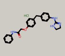 Cl.O=C(COc1ccc(Cc2ccc(NC3=NCCN3)cc2)cc1)Nc1ccccc1